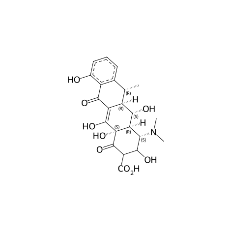 C[C@H]1c2cccc(O)c2C(=O)C2=C(O)[C@]3(O)C(=O)C(C(=O)O)C(O)[C@@H](N(C)C)[C@@H]3[C@@H](O)[C@@H]21